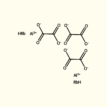 O=C([O-])C(=O)[O-].O=C([O-])C(=O)[O-].O=C([O-])C(=O)[O-].[Al+3].[Al+3].[RbH].[RbH]